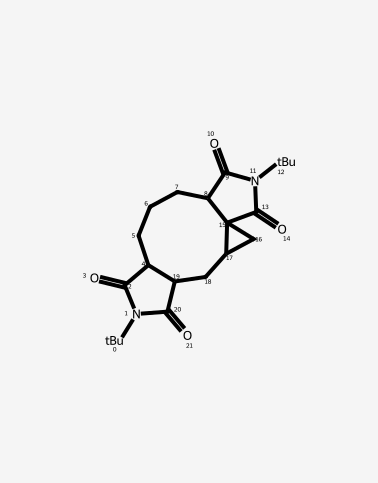 CC(C)(C)N1C(=O)C2CCCC3C(=O)N(C(C)(C)C)C(=O)C34CC4CC2C1=O